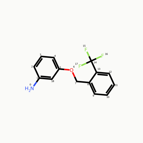 Nc1cccc(OCc2ccccc2C(F)(F)F)c1